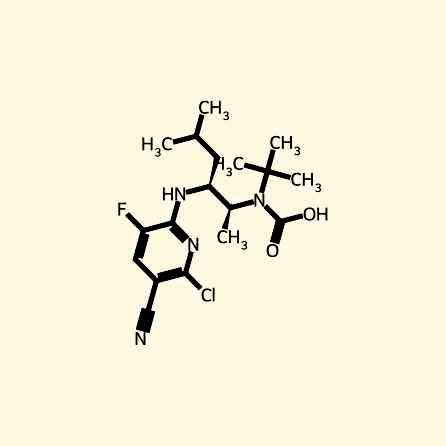 CC(C)C[C@H](Nc1nc(Cl)c(C#N)cc1F)[C@H](C)N(C(=O)O)C(C)(C)C